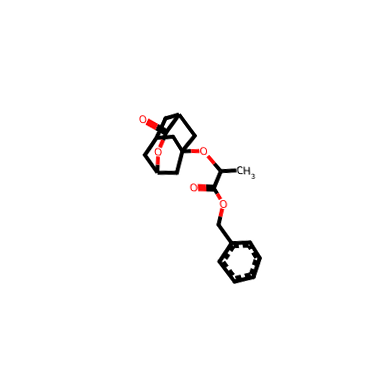 CC(OC12CC3CC(C1)OC(=O)C(C3)C2)C(=O)OCc1ccccc1